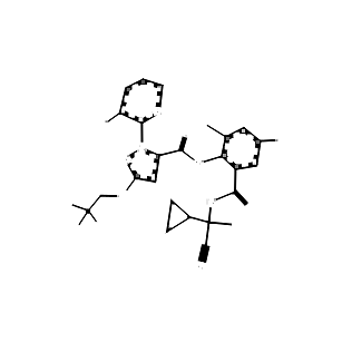 Cc1cc(Cl)cc(C(=O)NC(C)(C#N)C2CC2)c1NC(=O)c1cc(OCC(F)(F)F)nn1-c1ncccc1Cl